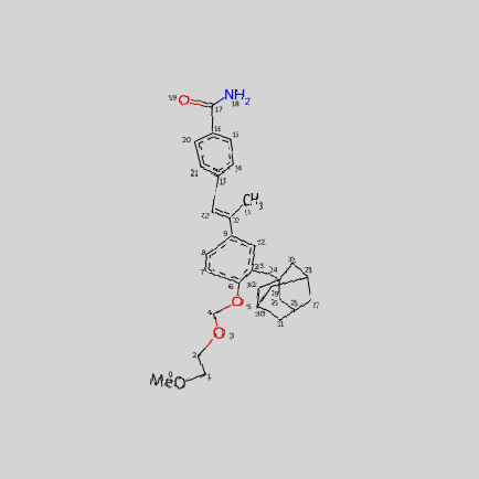 COCCOCOc1ccc(C(C)=Cc2ccc(C(N)=O)cc2)cc1C12CC3CC(CC(C3)C1)C2